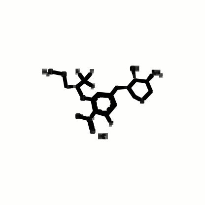 COC[C@@H](Oc1cc(C[C@@H]2CSC[C@H](N)[C@H]2O)cc(F)c1[N+](=O)[O-])C(F)(F)F.Cl